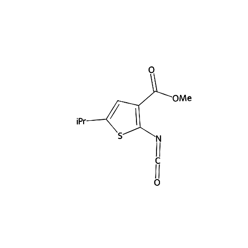 COC(=O)c1cc(C(C)C)sc1N=C=O